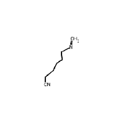 C=NCCCCCC#N